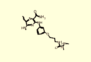 CCc1nc(C(N)=O)c(Nc2cccc(OCCCNC(=O)[C@H](C)NC)c2)nc1NC